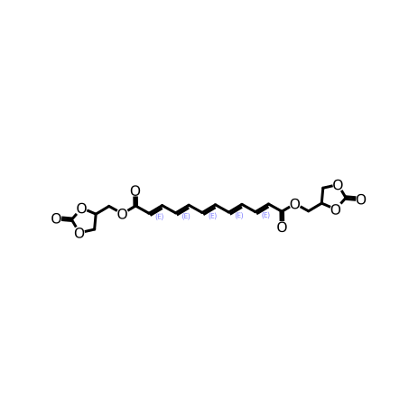 O=C(/C=C/C=C/C=C/C=C/C=C/C(=O)OCC1COC(=O)O1)OCC1COC(=O)O1